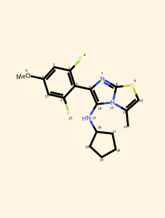 COc1cc(F)c(-c2nc3scc(C)n3c2NC2CCCC2)c(F)c1